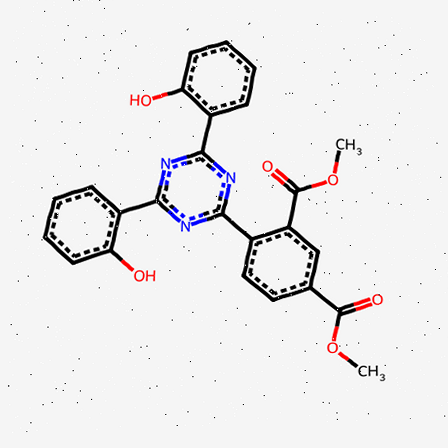 COC(=O)c1ccc(-c2nc(-c3ccccc3O)nc(-c3ccccc3O)n2)c(C(=O)OC)c1